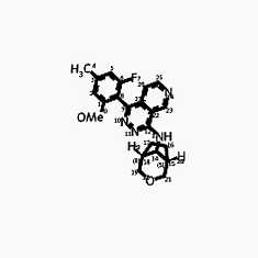 COc1cc(C)cc(F)c1-c1nnc(NC2[C@@H]3CC[C@H]2COC3)c2cnccc12